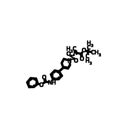 CN(C(=O)OC(C)(C)C)S(=O)(=O)N1CC=C(c2ccc(NC(=O)Oc3ccccc3)cc2)CC1